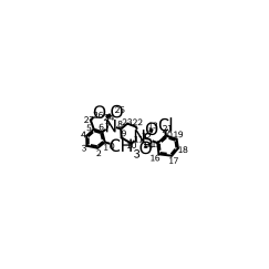 Cc1cccc2c1N(C1CCN(S(=O)(=O)c3ccccc3Cl)CC1)C(=O)OC2